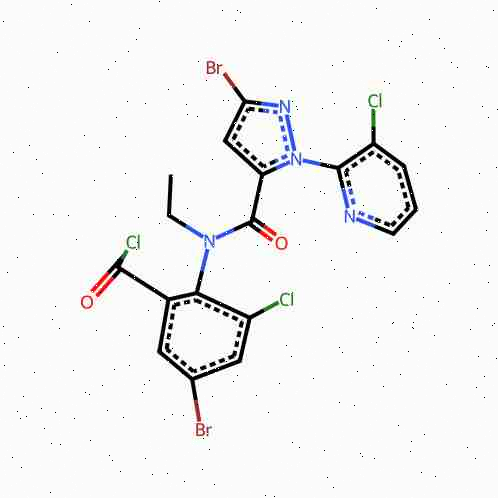 CCN(C(=O)c1cc(Br)nn1-c1ncccc1Cl)c1c(Cl)cc(Br)cc1C(=O)Cl